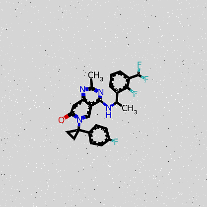 Cc1nc(NC(C)c2cccc(C(F)F)c2F)c2cn(C3(c4ccc(F)cc4)CC3)c(=O)cc2n1